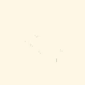 CCCC[C@H](NC(=O)OC(C)(C)C)C(=O)N1CCCN(S(=O)(=O)c2cccc3cncc(F)c23)[C@@H](C)C1